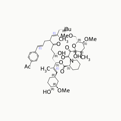 CC[C@@H](C)C/C(C)=C/C(C/C=C/c1ccc(C(C)=O)cc1)C(=O)C[C@H](O)C[C@H](OC(=O)[C@@H]1CCCCN1C(=O)C(=O)[C@]1(O)O[C@H](COC)[C@@H](OC)C[C@H]1C)/C(C)=C/[C@@H]1CC[C@@H](O)[C@H](OC)C1